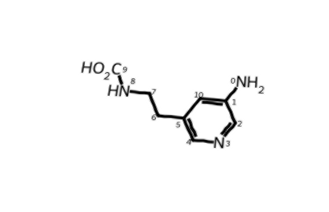 Nc1cncc(CCNC(=O)O)c1